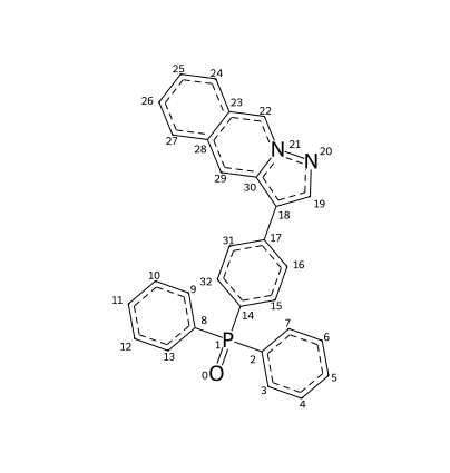 O=P(c1ccccc1)(c1ccccc1)c1ccc(-c2cnn3cc4ccccc4cc23)cc1